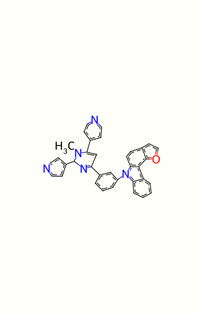 CN1C(c2ccncc2)=CC(c2cccc(-n3c4ccccc4c4c5occc5ccc43)c2)=NC1c1ccncc1